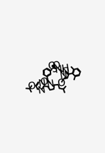 Cc1cccc(C)c1-c1cc2nc(n1)NS(=O)(=O)c1cccc(c1)C(=O)N1C(c3ncc(OC(C)C)cn3)CCC1C(CC(C)C)O2